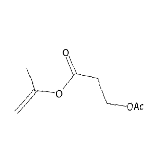 C=C(C)OC(=O)CCOC(C)=O